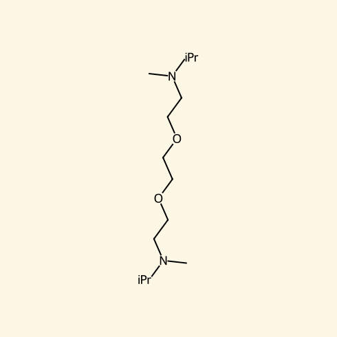 CC(C)N(C)CCOCCOCCN(C)C(C)C